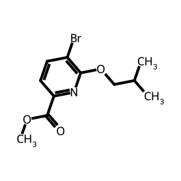 COC(=O)c1ccc(Br)c(OCC(C)C)n1